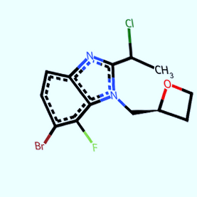 CC(Cl)c1nc2ccc(Br)c(F)c2n1C[C@@H]1CCO1